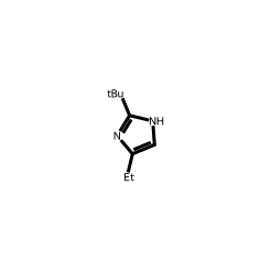 CCc1c[nH]c(C(C)(C)C)n1